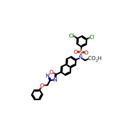 O=C(O)CN(c1ccc2cc(-c3nc(COc4ccccc4)no3)ccc2c1)S(=O)(=O)c1cc(Cl)cc(Cl)c1